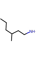 CCC[C](C)CC[NH]